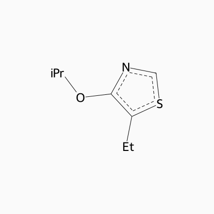 CCc1scnc1OC(C)C